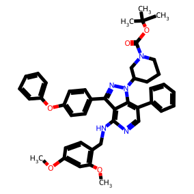 COc1ccc(CNc2ncc(-c3ccccc3)c3c2c(-c2ccc(Oc4ccccc4)cc2)nn3C2CCCN(C(=O)OC(C)(C)C)C2)c(OC)c1